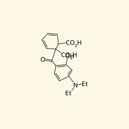 CCN(CC)c1ccc(C(=O)C2(C(=O)O)C=CC=CC2C(=O)O)c(O)c1